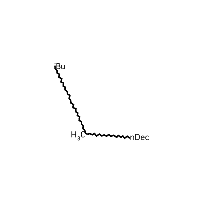 CCCCCCCCCCCCCCCCCCCCCCCCCCCCCC(C)CCCCCCCCCCCCCCCCCCCCCCCCCCCCCCC(C)CC